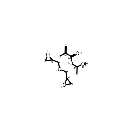 C(OCC1CO1)C1CO1.C=C(C)C(=O)OC(C)O